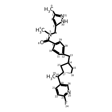 Cc1cc(CN(C)C(=O)c2ccc(CC3CC[C@H]([C@H](C)c4ccc(F)nc4)C3)cc2)[nH]n1